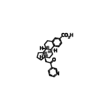 O=C(O)c1ccc2c(c1)CC[C@@H]1[C@@H]2CC[C@]2(CC(=O)c3cccnc3)CCC[C@@H]12